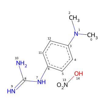 CN(C)c1ccc(NC(=N)N)cc1.O=[N+]([O-])O